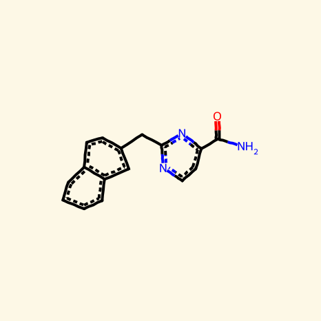 NC(=O)c1ccnc(Cc2ccc3ccccc3c2)n1